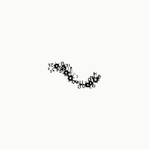 CC1(C)C(=O)N(c2ccc(C#N)c(C(F)(F)F)c2F)C(=S)N1c1cnc(-c2ccc(OCCNC(=O)COc3ccc4c(c3)C(=O)N(C3CCC(=O)NC3=O)C4=O)cc2C(F)(F)F)c(F)c1